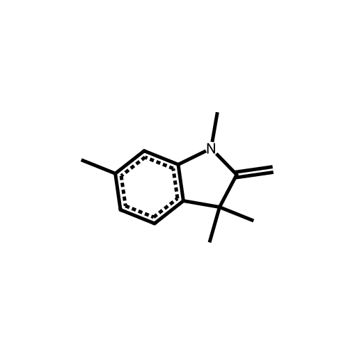 C=C1N(C)c2cc(C)ccc2C1(C)C